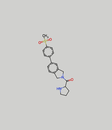 CS(=O)(=O)c1ccc(-c2ccc3c(c2)CN(C(=O)C2CCCN2)C3)cc1